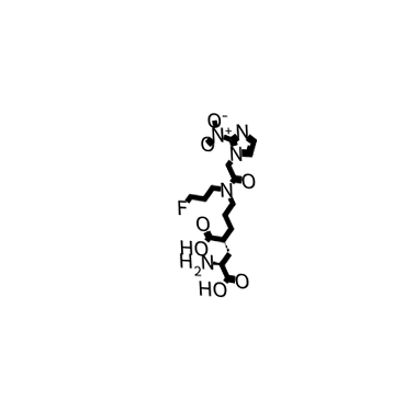 N[C@@H](C[C@@H](CCCN(CCCF)C(=O)Cn1ccnc1[N+](=O)[O-])C(=O)O)C(=O)O